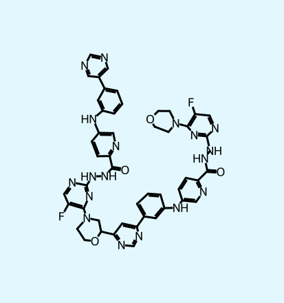 O=C(NNc1ncc(F)c(N2CCOCC2)n1)c1ccc(Nc2cccc(-c3cc(C4CN(c5nc(NNC(=O)c6ccc(Nc7cccc(-c8cncnc8)c7)cn6)ncc5F)CCO4)ncn3)c2)cn1